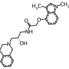 Cc1cn(C)c2cccc(OCC(=O)NC[C@H](O)CN3CCc4ccccc4C3)c12